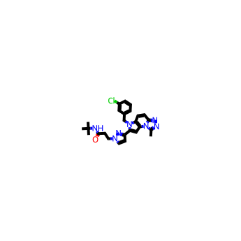 Cc1nnc2ccc3c(cc(-c4ccn(CCC(=O)NC(C)(C)C)n4)n3Cc3cccc(Cl)c3)n12